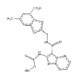 Cc1cc(C(=O)O)c2oc(CNC(=O)c3c(NC(=O)OC(C)(C)C)nn4cccnc34)cc2c1